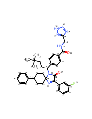 CC(C)(C)CC[C@H](c1ccc(C(=O)NCc2nn[nH]n2)cc1)N1C(=O)C(c2cccc(F)c2)=NC12CCC(c1ccccc1)CC2